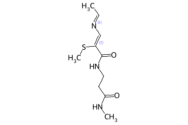 C/C=N/C=C(\SC)C(=O)NCCC(=O)NC